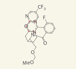 COCOCC1C2CCC(C(Oc3ccc(C(F)(F)F)cn3)C2)N1C(=O)c1cccc(F)c1-c1ncccn1